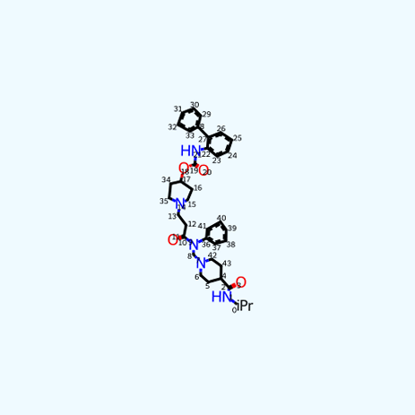 CC(C)NC(=O)C1CCN(CN(C(=O)CCN2CCC(OC(=O)Nc3ccccc3-c3ccccc3)CC2)c2ccccc2)CC1